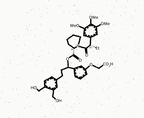 CC[C@H](C(=O)N1CCCC[C@H]1C(=O)OC(CCc1ccc(CO)c(CO)c1)c1cccc(OCC(=O)O)c1)c1cc(OC)c(OC)c(OC)c1